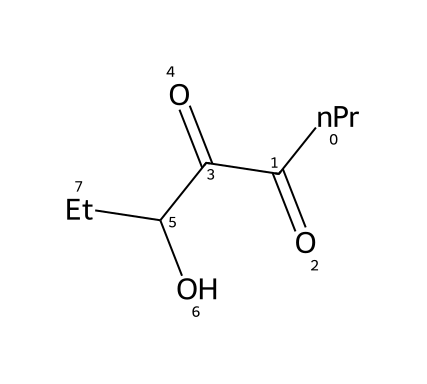 CCCC(=O)C(=O)C(O)CC